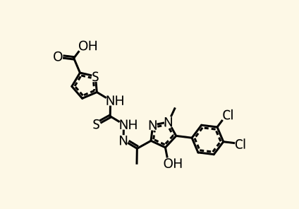 C/C(=N/NC(=S)Nc1ccc(C(=O)O)s1)c1nn(C)c(-c2ccc(Cl)c(Cl)c2)c1O